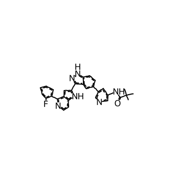 CC(C)(C)C(=O)Nc1cncc(-c2ccc3[nH]nc(-c4cc5c(-c6ccccc6F)nccc5[nH]4)c3c2)c1